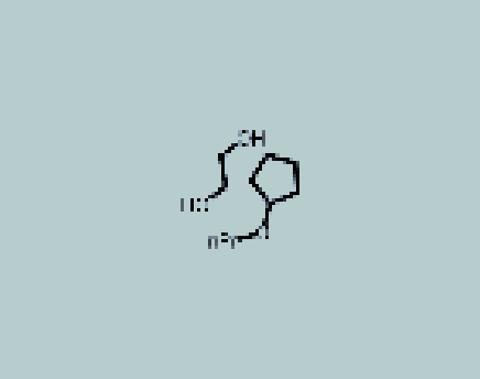 CCCOC1CCCC1.OCCO